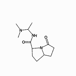 CC(NC(=O)C1CCC2CCC(=O)N21)N(C)C